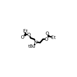 CCC(=O)OCCN(CCOC(=O)CC)C(C)(C)C